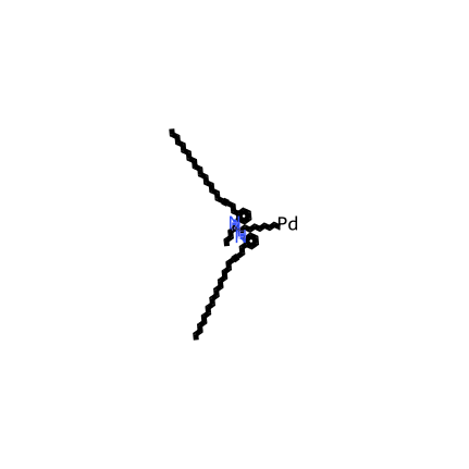 CCCCCCCCCCCCCCCCCCC#CCCc1ccccc1/N=C(CCCC)\C(CCCCCCCC)=N\c1ccccc1CCC#CCCCCCCCCCCCCCCCCCC.[Pd]